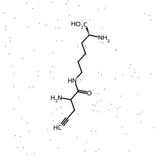 C#CCC(N)C(=O)NCCCC[C@H](N)C(=O)O